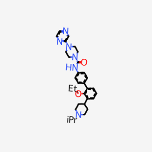 CCOc1c(-c2ccc(NC(=O)N3CCN(c4cnccn4)CC3)cc2)cccc1C1CCN(C(C)C)CC1